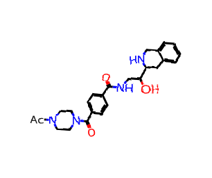 CC(=O)N1CCN(C(=O)c2ccc(C(=O)NCC(O)C3Cc4ccccc4CN3)cc2)CC1